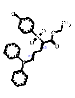 CCOC(=O)/C(=C/C=C/N(c1ccccc1)c1ccccc1)S(=O)(=O)c1ccc(Cl)cc1